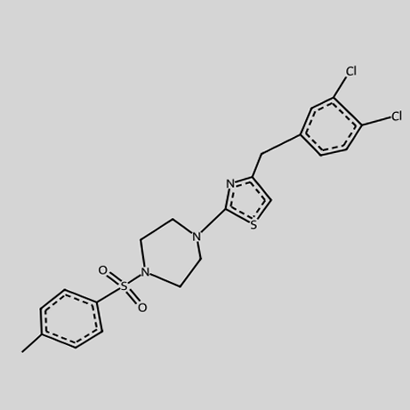 Cc1ccc(S(=O)(=O)N2CCN(c3nc(Cc4ccc(Cl)c(Cl)c4)cs3)CC2)cc1